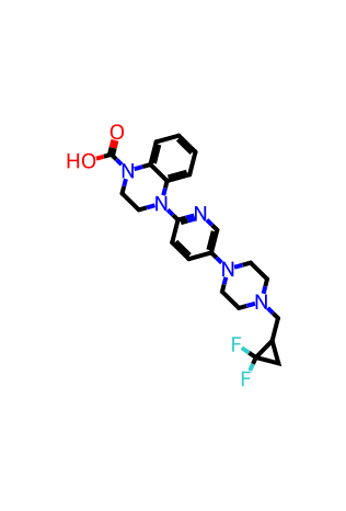 O=C(O)N1CCN(c2ccc(N3CCN(CC4CC4(F)F)CC3)cn2)c2ccccc21